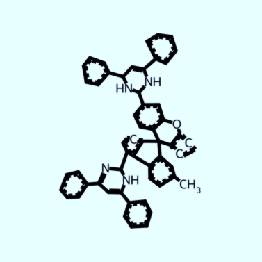 Cc1ccc2c(c1)C1(c3ccccc3Oc3cc(C4NC(c5ccccc5)=CC(c5ccccc5)N4)ccc31)c1cccc(C3N=C(c4ccccc4)C=C(c4ccccc4)N3)c1-2